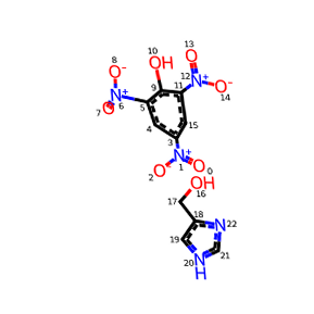 O=[N+]([O-])c1cc([N+](=O)[O-])c(O)c([N+](=O)[O-])c1.OCc1c[nH]cn1